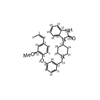 C/C=C\c1ccc(Oc2cccc(CN3CCC(n4c(=O)[nH]c5ccccc54)CC3)c2)c(OC)c1